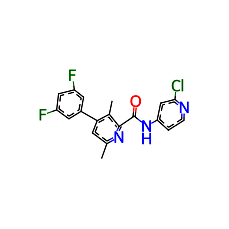 Cc1cc(-c2cc(F)cc(F)c2)c(C)c(C(=O)Nc2ccnc(Cl)c2)n1